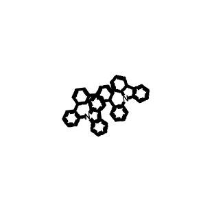 C1=CC(c2ccccc2N2c3ccccc3C3C=CC=CC32)CC(C2=CC=CC(c3ccccc3-n3c4ccccc4c4ccccc43)C2)=C1